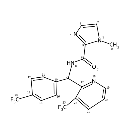 Cn1ccnc1C(=O)NC(c1ccc(C(F)(F)F)cc1)c1ncccc1C(F)(F)F